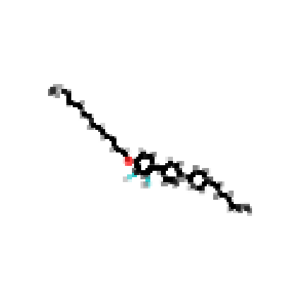 CCCCCCCCCCCCOc1ccc(-c2ccc(C3CCC(CCCCC)CC3)cc2)c(F)c1F